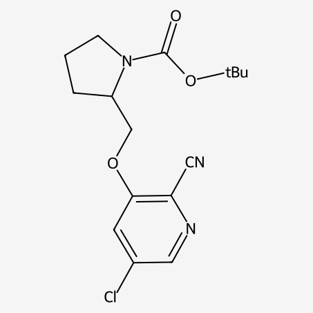 CC(C)(C)OC(=O)N1CCCC1COc1cc(Cl)cnc1C#N